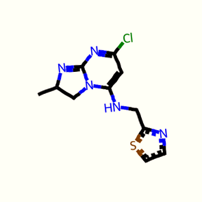 CC1CN2C(NCc3nccs3)=CC(Cl)=NC2=N1